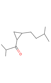 CC(C)CCC1CC1C(=O)C(C)C